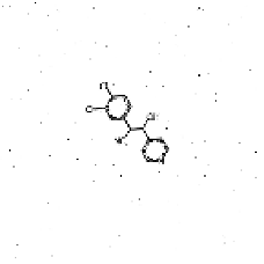 N#CC(c1ccc(Cl)c(Cl)c1)C(O)c1ccncc1